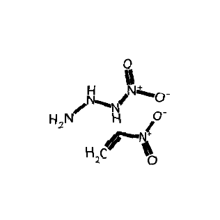 C=C[N+](=O)[O-].NNN[N+](=O)[O-]